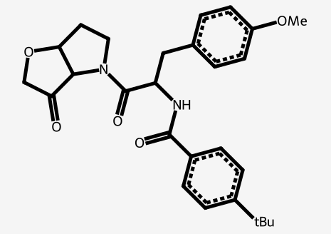 COc1ccc(CC(NC(=O)c2ccc(C(C)(C)C)cc2)C(=O)N2CCC3OCC(=O)C32)cc1